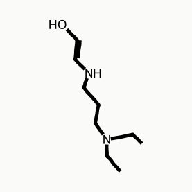 CCN(CC)CCCN/C=C/O